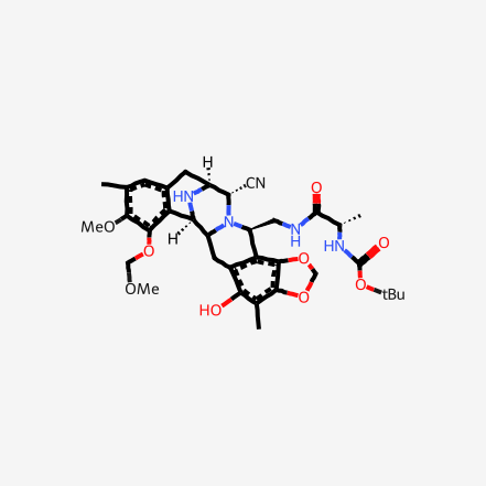 COCOc1c(OC)c(C)cc2c1[C@H]1N[C@@H](C2)[C@H](C#N)N2C1Cc1c(O)c(C)c3c(c1[C@@H]2CNC(=O)[C@H](C)NC(=O)OC(C)(C)C)OCO3